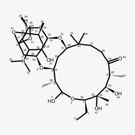 CC[C@H]1OC(O)[C@H](C)[C@@H](O[C@H]2CC3(OC)O[C@H]3[C@@H](C)O2)C[C@@H](O[C@@H]2O[C@H](C)CC(N(C)C)C2O)C(C)(C)CCC(=O)[C@H](C)[C@@H](O)[C@]1(C)O